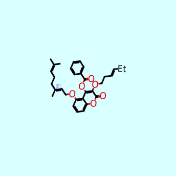 CCC=CCCOc1c(OC(=O)c2ccccc2)c2c(OC/C=C(\C)CCC=C(C)C)cccc2oc1=O